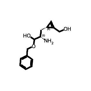 N[C@@H](C[C@@H]1C=C1CO)C(O)OCc1ccccc1